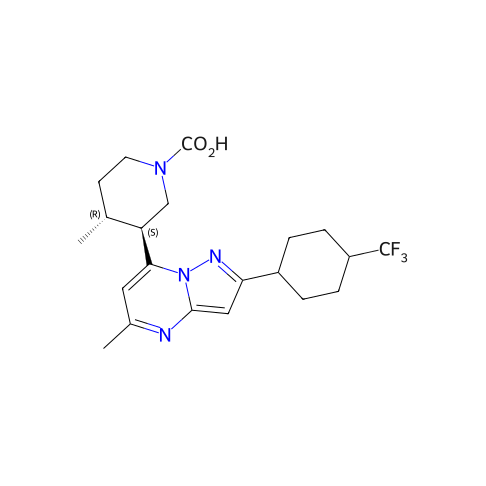 Cc1cc([C@@H]2CN(C(=O)O)CC[C@H]2C)n2nc(C3CCC(C(F)(F)F)CC3)cc2n1